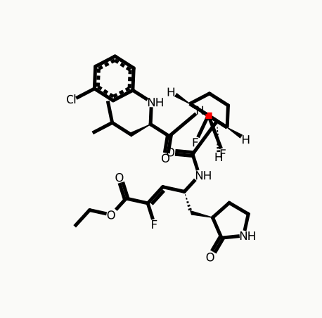 CCOC(=O)/C(F)=C/[C@@H](C[C@H]1CCNC1=O)NC(=O)[C@@H]1[C@H]2CC[C@H](CC2(F)F)N1C(=O)[C@@H](CC(C)C)Nc1cccc(Cl)c1